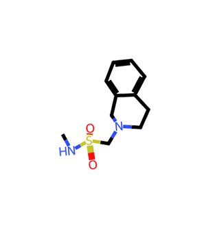 CNS(=O)(=O)CN1CCc2ccccc2C1